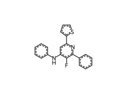 Fc1c(Nc2ccccc2)cc(-c2cccs2)nc1-c1ccccc1